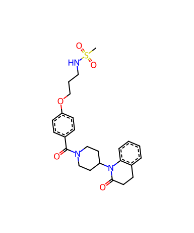 CS(=O)(=O)NCCCOc1ccc(C(=O)N2CCC(N3C(=O)CCc4ccccc43)CC2)cc1